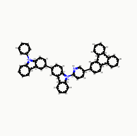 c1ccc(-n2c3ccccc3c3cc(-c4ccc5c(c4)c4ccccc4n5-c4ccc(-c5ccc6c7ccccc7c7ccccc7c6c5)cn4)ccc32)cc1